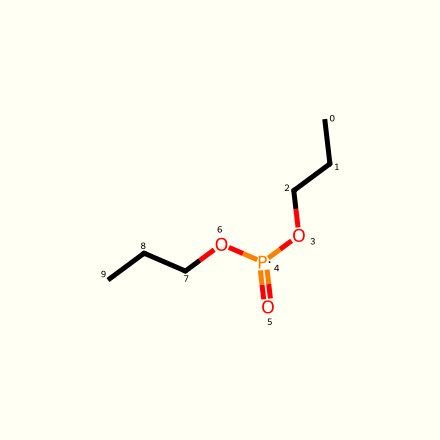 CCCO[P](=O)OCCC